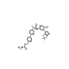 CC(C(=O)Nc1cc(-c2cnn3c2CC(C)(C)C3)c(Cl)cn1)c1ccc(-c2ccc(COC(N)=O)nc2)nc1